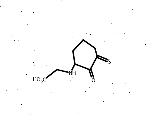 O=C(O)CNC1CCCC(=S)C1=O